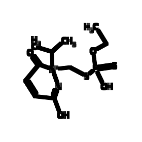 CCOP(O)(=S)SC[N+]1(C(C)C)N=C(O)C=CC1=O